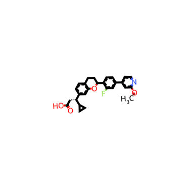 COc1cc(-c2ccc(C3CCc4ccc([C@@H](CC(=O)O)C5CC5)cc4O3)c(F)c2)ccn1